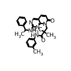 Cc1cccc(NC(=O)C(C)(C)Cn2c(=O)ccc3cnc(NC(C)c4ccccc4)nc32)c1